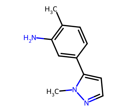 Cc1ccc(-c2ccnn2C)cc1N